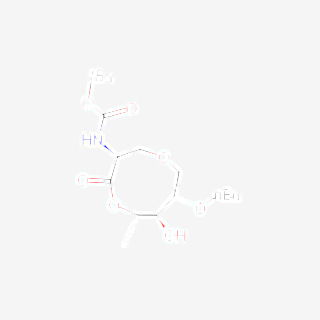 CCCCO[C@H]1COC[C@H](NC(=O)OC(C)(C)C)C(=O)O[C@@H](C)[C@@H]1O